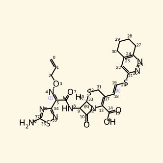 C=CCO/N=C(\C(=O)NC1C(=O)N2C(C(=O)O)=C(/C=C/Sc3cc4c(nn3)CCCC4)CS[C@H]12)c1nsc(N)n1